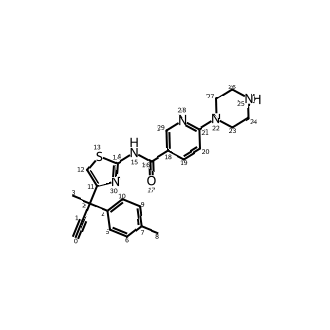 C#CC(C)(c1ccc(C)cc1)c1csc(NC(=O)c2ccc(N3CCNCC3)nc2)n1